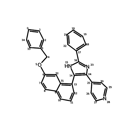 c1ccc(COc2ccc3cccc(-c4[nH]c(-c5ccccc5)nc4-c4ccncc4)c3c2)cc1